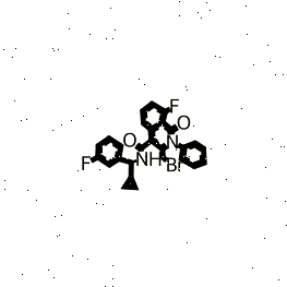 O=C(N[C@H](c1cccc(F)c1)C1CC1)c1c(CBr)n(-c2ccccc2)c(=O)c2c(F)cccc12